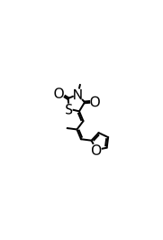 CC(=Cc1ccco1)C=C1SC(=O)N(C)C1=O